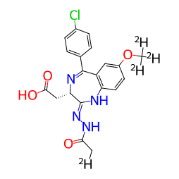 [2H]CC(=O)N/N=C1\Nc2ccc(OC([2H])([2H])[2H])cc2C(c2ccc(Cl)cc2)=N[C@H]1CC(=O)O